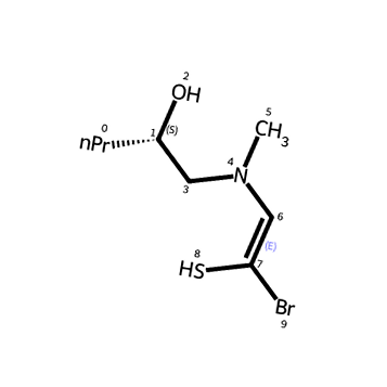 CCC[C@H](O)CN(C)/C=C(\S)Br